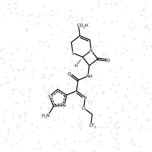 Nc1nc(C(=NOCC(F)(F)F)C(=O)NC2C(=O)N3C=C(C(=O)O)CS[C@H]23)cs1